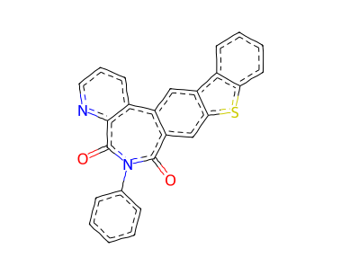 O=c1c2cc3sc4ccccc4c3cc2c2cccnc2c(=O)n1-c1ccccc1